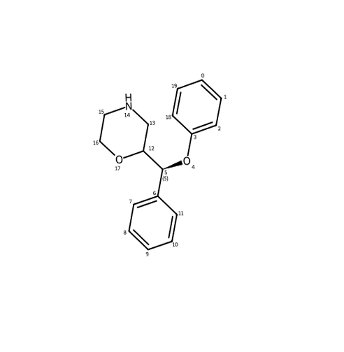 c1ccc(O[C@@H](c2ccccc2)C2CNCCO2)cc1